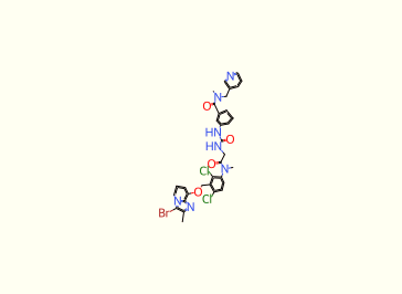 Cc1nc2c(OCc3c(Cl)ccc(N(C)C(=O)CNC(=O)Nc4cccc(C(=O)N(C)Cc5cccnc5)c4)c3Cl)cccn2c1Br